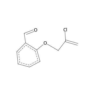 C=C(Cl)COc1ccccc1C=O